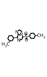 Cc1ccc(S(=O)(=O)c2cnc(-c3cccc(C)c3)c3nccn23)cc1